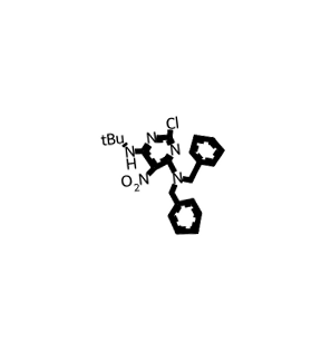 CC(C)(C)Nc1nc(Cl)nc(N(Cc2ccccc2)Cc2ccccc2)c1[N+](=O)[O-]